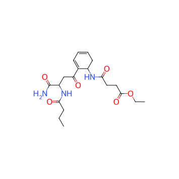 CCCC(=O)NC(CC(=O)C1=CC=CCC1NC(=O)CCC(=O)OCC)C(N)=O